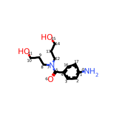 Nc1ccc(C(=O)N(CCCO)CCCO)cc1